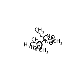 CCCCc1cnc(S(C)(=O)=O)nc1C(/C=C(\C=O)C(C)C)=C/N(C)C